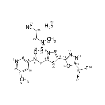 Cc1cncc(N(Cc2ncc(-c3nnc(C(F)F)o3)s2)OSN(C)CCC#N)c1.S